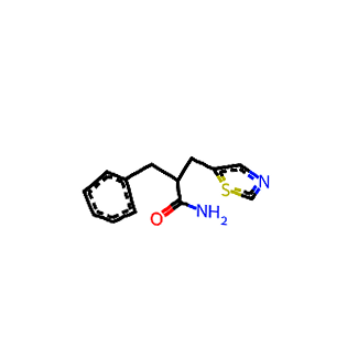 NC(=O)C(Cc1ccccc1)Cc1cncs1